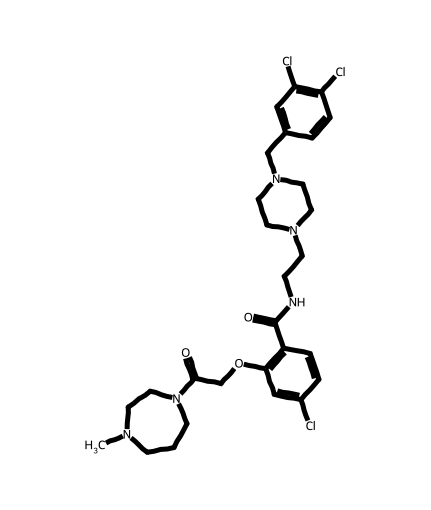 CN1CCCN(C(=O)COc2cc(Cl)ccc2C(=O)NCCN2CCN(Cc3ccc(Cl)c(Cl)c3)CC2)CC1